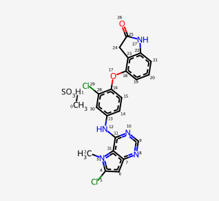 CS(=O)(=O)O.Cn1c(Cl)cc2ncnc(Nc3ccc(Oc4cccc5c4CC(=O)N5)c(Cl)c3)c21